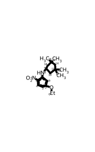 CCOc1ccc([N+](=O)[O-])c(NC2CC(C)(C)CC(C)(C)C2)c1